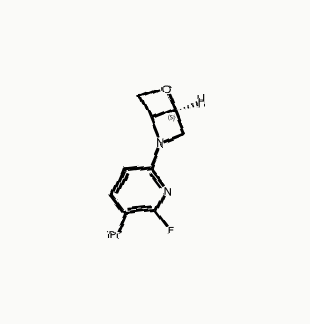 CC(C)c1ccc(N2C[C@@H]3OCC32)nc1F